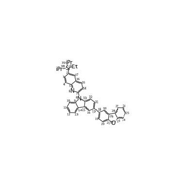 CC[Si](c1ccc2nc(-n3c4ccccc4c4cc(-c5ccc6oc7ccccc7c6c5)ccc43)ccc2c1)(C(C)C)C(C)C